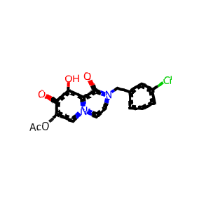 CC(=O)Oc1cn2ccn(Cc3cccc(Cl)c3)c(=O)c2c(O)c1=O